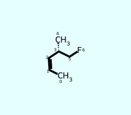 C/C=C\[C@H](C)CF